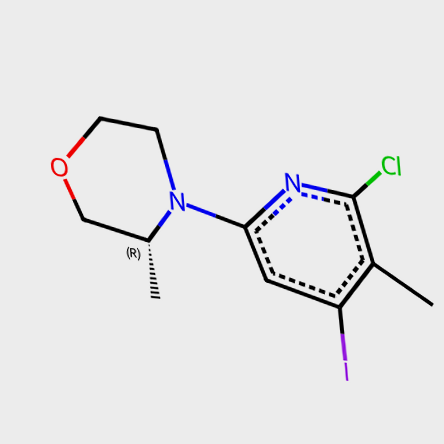 Cc1c(I)cc(N2CCOC[C@H]2C)nc1Cl